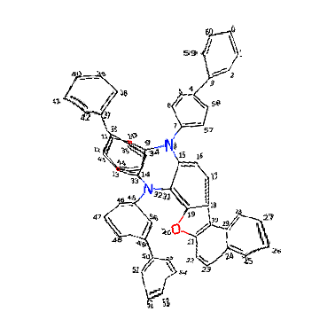 c1ccc(-c2ccc(N(c3ccccc3)c3ccc4c(oc5ccc6ccccc6c54)c3N(c3ccc(-c4ccccc4)cc3)c3cccc(-c4ccccc4)c3)cc2)cc1